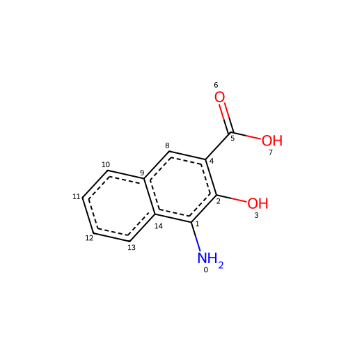 Nc1c(O)c(C(=O)O)cc2ccccc12